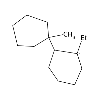 CC[C]1CCCCC1C1(C)CCCCC1